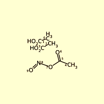 CC(=O)O.CC(=O)O.CC(=O)ON=O